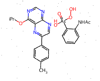 CC(=O)Nc1ccccc1[As](=O)(O)OO.Cc1ccc(-c2cnc3ncnc(OC(C)C)c3n2)cc1